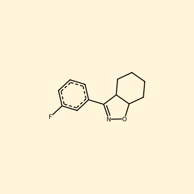 Fc1cccc(C2=NOC3CCCCC23)c1